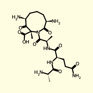 C[C@H](N)C(=O)N[C@H](CCC(N)=O)C(=O)N[C@H](C)C(=O)N1C(=O)[C@H](N)CCC[C@H](N)C(=O)[C@@]1(C)C(=O)O